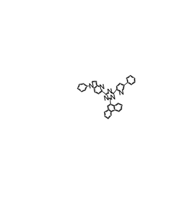 c1ccc(-c2ccc(-c3nc(-c4ccc5c(ccn5-c5ccccc5)n4)nc(-c4cc5ccccc5c5ccccc45)n3)nc2)cc1